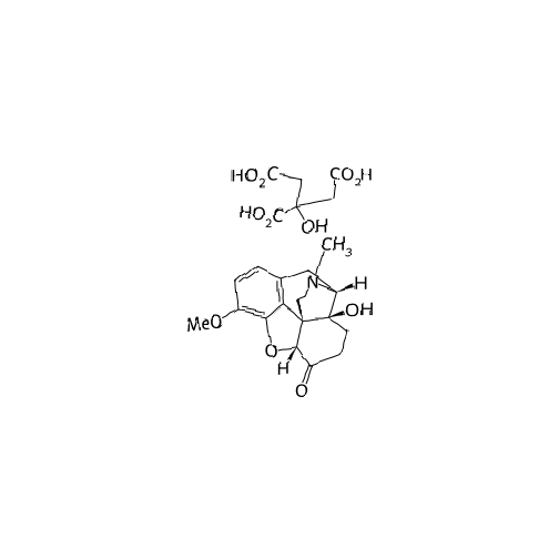 COc1ccc2c3c1O[C@H]1C(=O)CC[C@@]4(O)[C@@H](C2)N(C)CC[C@]314.O=C(O)CC(O)(CC(=O)O)C(=O)O